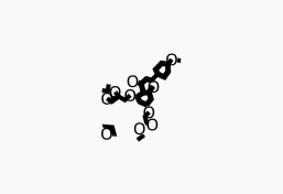 C1=COC1.CCOC(=O)COc1cc(OCC2=COC(C)(C)O2)c2c(=O)cc(-c3ccc(OC)cc3)oc2c1